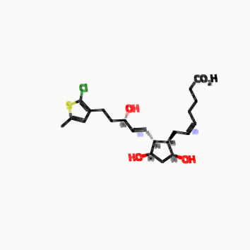 Cc1cc(CC[C@H](O)/C=C/[C@@H]2[C@@H](C/C=C\CCCC(=O)O)[C@@H](O)C[C@H]2O)c(Cl)s1